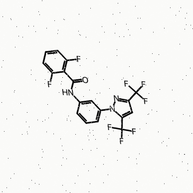 O=C(Nc1cccc(-n2nc(C(F)(F)F)cc2C(F)(F)F)c1)c1c(F)cccc1F